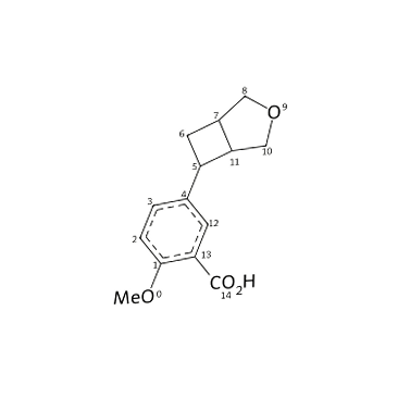 COc1ccc(C2CC3COCC32)cc1C(=O)O